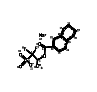 O=C(OC(C(F)(F)F)C(F)(F)S(=O)(=O)[O-])c1ccc2ccccc2c1.[Na+]